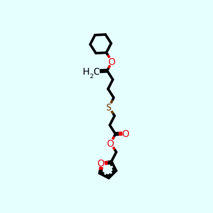 C=C(CCCSCCC(=O)OCc1ccco1)OC1CCCCC1